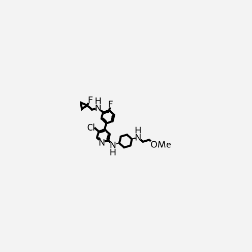 COCCN[C@H]1CC[C@H](Nc2cc(-c3ccc(F)c(NCC4(F)CC4)c3)c(Cl)cn2)CC1